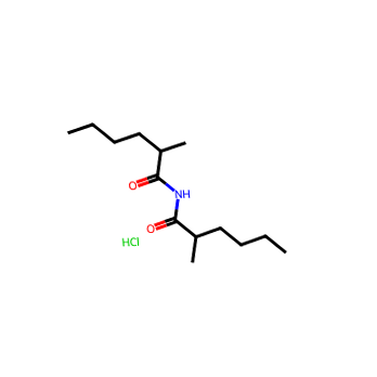 CCCCC(C)C(=O)NC(=O)C(C)CCCC.Cl